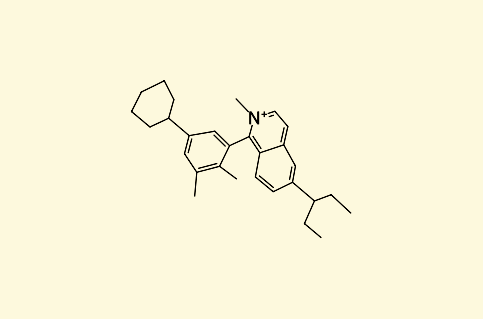 CCC(CC)c1ccc2c(-c3cc(C4CCCCC4)cc(C)c3C)[n+](C)ccc2c1